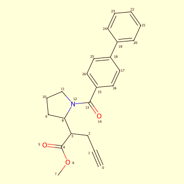 C#CCC(C(=O)OC)C1CCCN1C(=O)c1ccc(-c2ccccc2)cc1